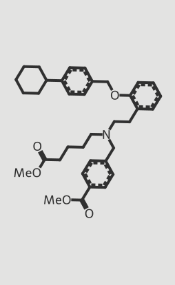 COC(=O)CCCCN(CCc1ccccc1OCc1ccc(C2CCCCC2)cc1)Cc1ccc(C(=O)OC)cc1